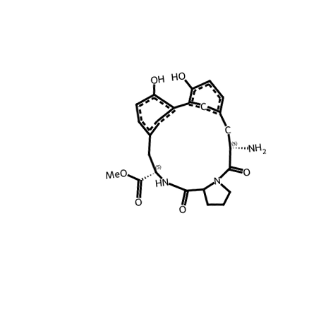 COC(=O)[C@@H]1Cc2ccc(O)c(c2)-c2cc(ccc2O)C[C@H](N)C(=O)N2CCCC2C(=O)N1